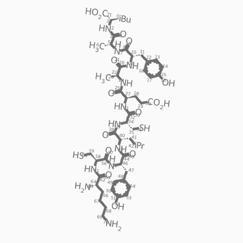 CC[C@H](C)[C@H](NC(=O)[C@@H](C)NC(=O)[C@H](Cc1ccc(O)cc1)NC(=O)[C@H](C)NC(=O)[C@@H](CCC(=O)O)NC(=O)[C@H](CS)NC(=O)[C@H](CC(C)C)NC(=O)[C@H](Cc1ccc(O)cc1)NC(=O)[C@H](CS)NC(=O)[C@@H](N)CCCCN)C(=O)O